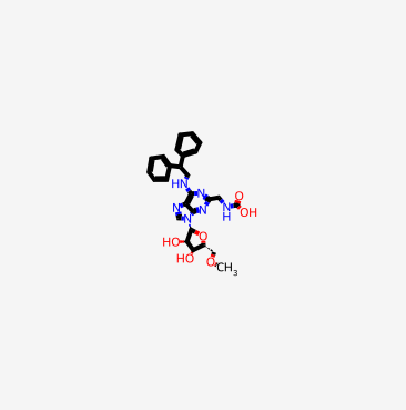 COC[C@H]1O[C@@H](n2cnc3c(NCC(c4ccccc4)c4ccccc4)nc(CNC(=O)O)nc32)[C@H](O)[C@@H]1O